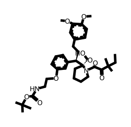 CCC(C)(C)C(=O)C(=O)N1CCCC[C@@]1(C(=O)O)[C@H](CCc1ccc(OC)c(OC)c1)c1cccc(OCCNC(=O)OC(C)(C)C)c1